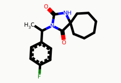 CC(c1ccc(F)cc1)N1C(=O)NC2(CCCCCC2)C1=O